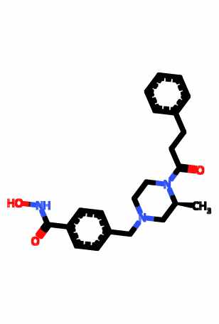 C[C@H]1CN(Cc2ccc(C(=O)NO)cc2)CCN1C(=O)CCc1ccccc1